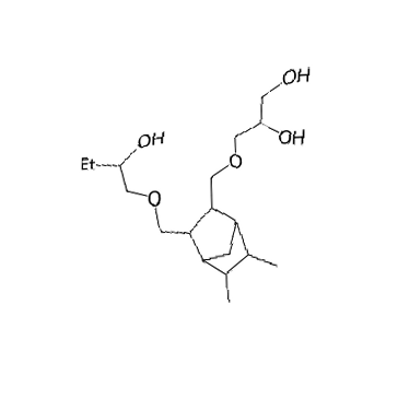 CCC(O)COCC1C2CC(C(C)C2C)C1COCC(O)CO